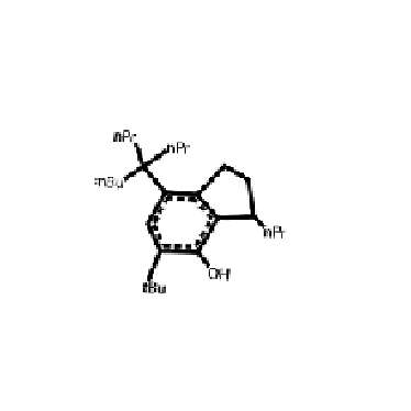 CCC[C]C(CCC)(CCC)c1cc(C(C)(C)C)c(O)c2c1CCC2CCC